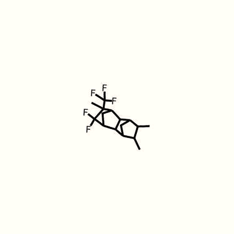 CC1C(C)C2CC1C1C2C2CC1C(F)(F)C2(C)C(F)(F)F